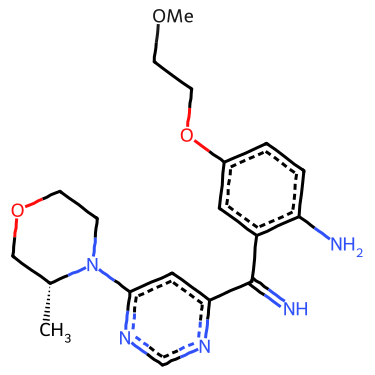 COCCOc1ccc(N)c(C(=N)c2cc(N3CCOC[C@H]3C)ncn2)c1